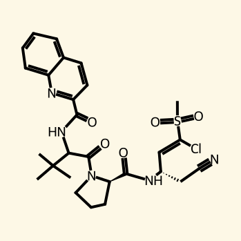 CC(C)(C)C(NC(=O)c1ccc2ccccc2n1)C(=O)N1CCC[C@@H]1C(=O)N[C@H](/C=C(\Cl)S(C)(=O)=O)CC#N